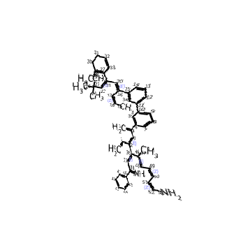 C=CC(=C\C(=C)c1cccc(-c2cccc(C(/C=C\C)=C/C(=C/C(C)(C)C)C3=C(C)CCC=C3)c2)c1)/C(=C/C(=N)c1ccccc1)C(/C)=C/C=C\C=C/N